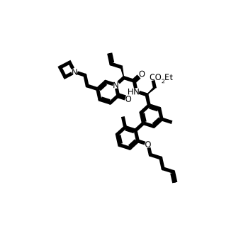 C=CCCCOc1cccc(C)c1-c1cc(C)cc([C@H](CC(=O)OCC)NC(=O)[C@H](CC=C)n2cc(CCN3CCC3)ccc2=O)c1